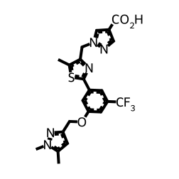 Cc1sc(-c2cc(OCc3cc(C)n(C)n3)cc(C(F)(F)F)c2)nc1Cn1cc(C(=O)O)cn1